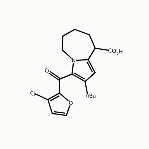 CCCCc1cc2n(c1C(=O)c1occc1Cl)CCCCC2C(=O)O